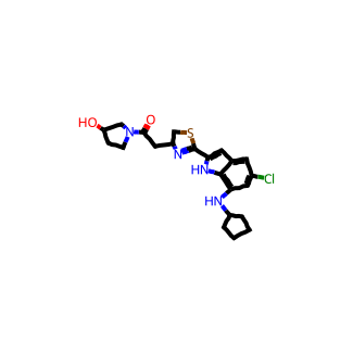 O=C(CC1CSC(c2cc3cc(Cl)cc(NC4CCCC4)c3[nH]2)=N1)N1CCC(O)C1